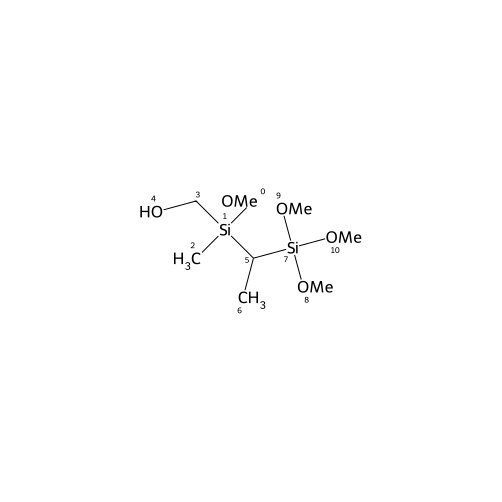 CO[Si](C)(CO)C(C)[Si](OC)(OC)OC